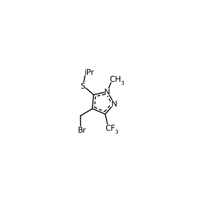 CC(C)Sc1c(CBr)c(C(F)(F)F)nn1C